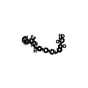 [2H]c1nccnc1CNc1nc(Nc2ccc(N3CCC(N4CCN(Cc5ccc6c(c5)CN(C5CCC(=O)NC5=O)C6=O)CC4)CC3)cc2)ncc1C(F)(F)F